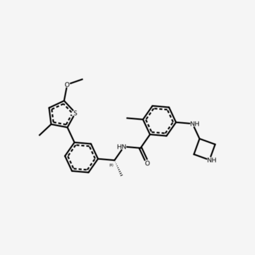 COc1cc(C)c(-c2cccc([C@@H](C)NC(=O)c3cc(NC4CNC4)ccc3C)c2)s1